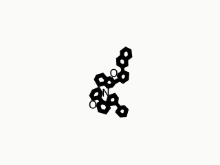 c1ccc(-c2ccc(N(c3cc4c5cccc(-c6ccc7ccccc7c6)c5oc4c4ccccc34)c3cccc4oc5ccccc5c34)cc2)cc1